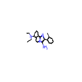 CCN(CC)c1cccc2c1ccn1c(N)c(-c3ccccc3C)nc21